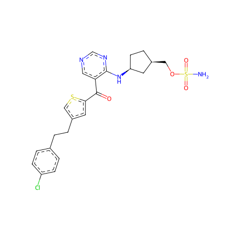 NS(=O)(=O)OC[C@@H]1CC[C@H](Nc2ncncc2C(=O)c2cc(CCc3ccc(Cl)cc3)cs2)C1